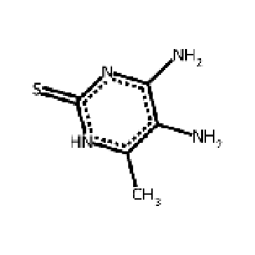 Cc1[nH]c(=S)nc(N)c1N